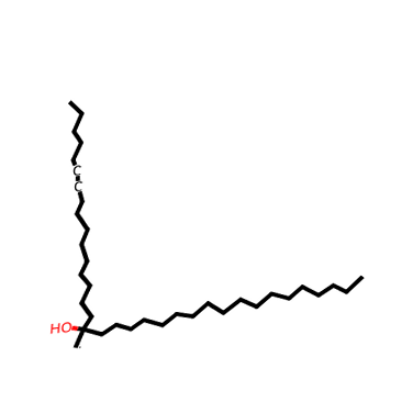 [CH2]C(O)(CCCCCCCCCCCCCCCC)CCCCCCCCCCCCCCCCCC